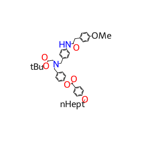 CCCCCCCOc1ccc(C(=O)Oc2ccc(CN(CC(=O)OC(C)(C)C)Cc3ccc(NC(=O)Cc4ccc(OC)cc4)cc3)cc2)cc1